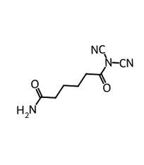 N#CN(C#N)C(=O)CCCCC(N)=O